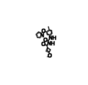 COC12CC(C(=O)NC(=O)Nc3ccc(C)c(Oc4ccccn4)c3)(C1)C2